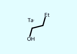 CCCCO.[Ta]